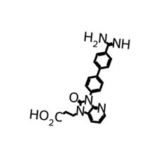 N=C(N)c1ccc(-c2ccc(-n3c(=O)n(CCC(=O)O)c4cccnc43)cc2)cc1